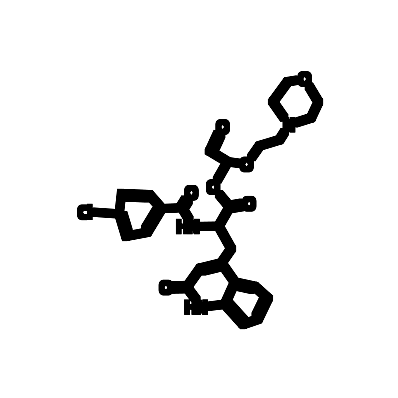 O=CC(OCCN1CCOCC1)OC(=O)C(Cc1cc(=O)[nH]c2ccccc12)NC(=O)c1ccc(Cl)cc1